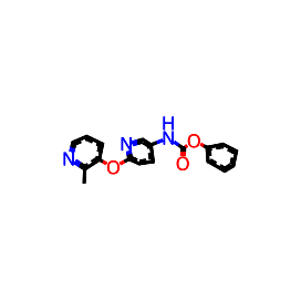 Cc1ncccc1Oc1ccc(NC(=O)Oc2ccccc2)cn1